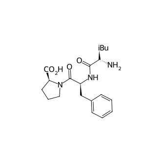 CC[C@H](C)[C@H](N)C(=O)N[C@@H](Cc1ccccc1)C(=O)N1CCC[C@H]1C(=O)O